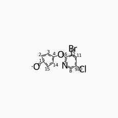 [O]c1ccc(Oc2ncc(Cl)cc2Br)cc1